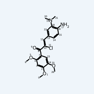 COc1cc(OC)c(C(=O)C(Cl)=Cc2ccc(N)c(N(C)C)c2)cc1OC